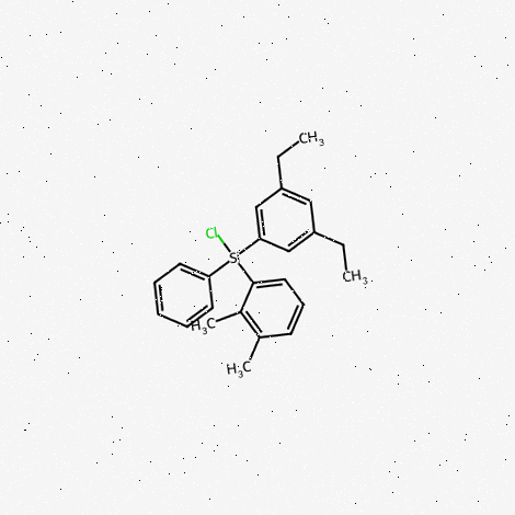 CCc1cc(CC)cc([Si](Cl)(c2ccccc2)c2cccc(C)c2C)c1